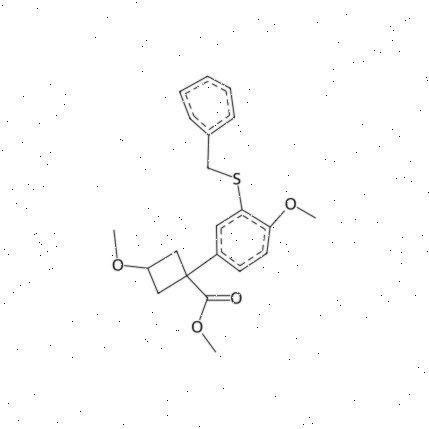 COC(=O)C1(c2ccc(OC)c(SCc3ccccc3)c2)CC(OC)C1